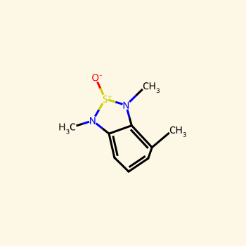 Cc1cccc2c1N(C)[S+]([O-])N2C